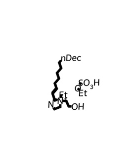 CCCCCCCCCCCCCCCC=CC1=NCC[N+]1(CC)CCO.CCOS(=O)(=O)O